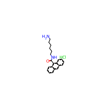 Cl.NCCCCCCNC(=O)c1c2ccccc2cc2ccccc12